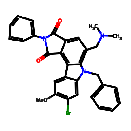 COc1cc2c3c4c(cc(CN(C)C)c3n(Cc3ccccc3)c2cc1Br)C(=O)N(c1ccccc1)C4=O